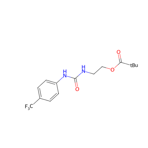 CC(C)(C)C(=O)OCCNC(=O)Nc1ccc(C(F)(F)F)cc1